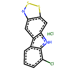 Cl.Clc1cccc2c1[nH]c1cc3c(cc12)[N]SS3